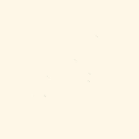 CN(C)c1cncc(-c2ccc3[nH]nc(-c4cc5c(-c6ccccn6)cccc5[nH]4)c3c2)c1